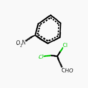 O=CC(Cl)Cl.O=[N+]([O-])c1ccccc1